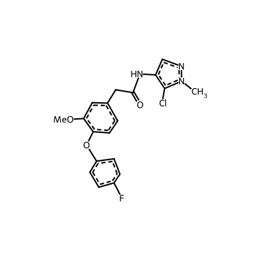 COc1cc(CC(=O)Nc2cnn(C)c2Cl)ccc1Oc1ccc(F)cc1